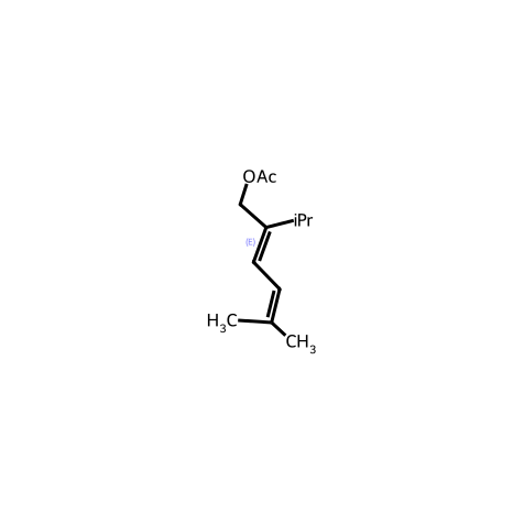 CC(=O)OC/C(=C/C=C(C)C)C(C)C